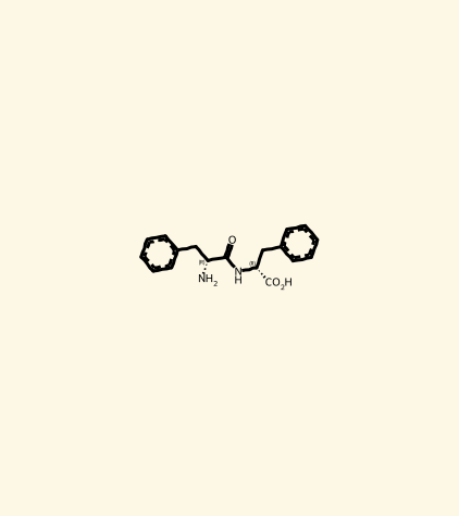 N[C@H](Cc1ccccc1)C(=O)N[C@H](Cc1ccccc1)C(=O)O